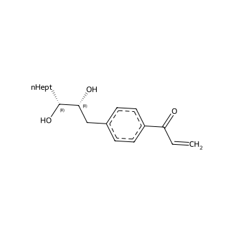 C=CC(=O)c1ccc(C[C@@H](O)[C@H](O)CCCCCCC)cc1